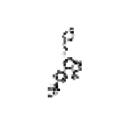 N#Cc1cnn2cc(OCCN3CCOCC3)cc(-c3cnc(N4CC5CC(C4)N5)nc3)c12